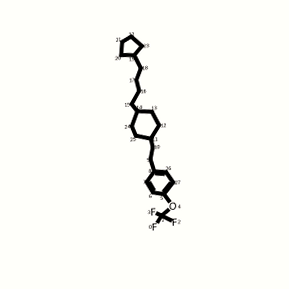 FC(F)(F)Oc1ccc(CCC2CCC(CCCCC3CCCC3)CC2)cc1